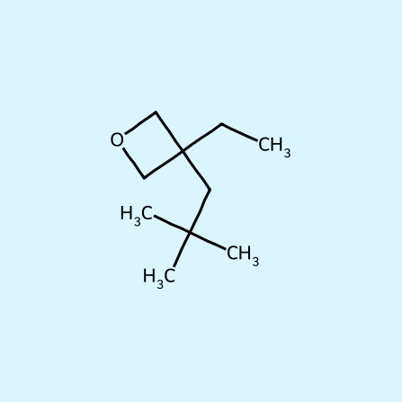 CCC1(CC(C)(C)C)COC1